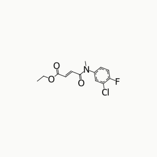 CCOC(=O)/C=C/C(=O)N(C)c1ccc(F)c(Cl)c1